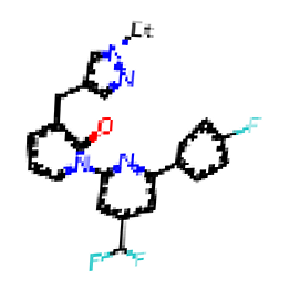 CCn1cc(Cc2cccn(-c3cc(C(F)F)cc(-c4ccc(F)cc4)n3)c2=O)cn1